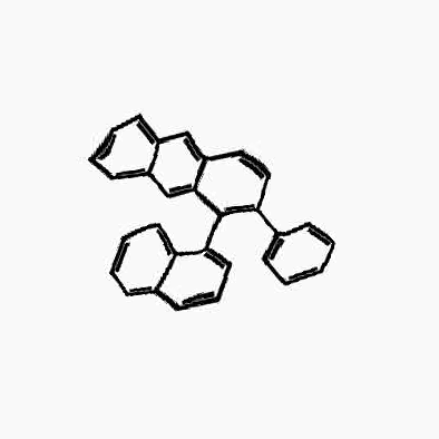 c1ccc(-c2ccc3cc4ccccc4cc3c2-c2cccc3ccccc23)cc1